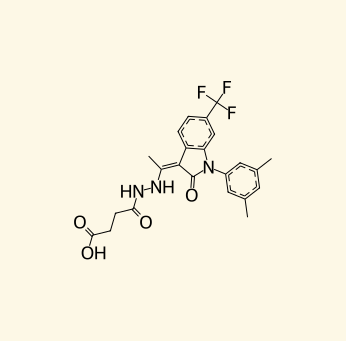 C/C(NNC(=O)CCC(=O)O)=C1/C(=O)N(c2cc(C)cc(C)c2)c2cc(C(F)(F)F)ccc21